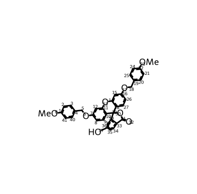 COc1ccc(COc2ccc3c(c2)Oc2cc(OCc4ccc(OC)cc4)ccc2C32OC(=O)c3ccc(O)cc32)cc1